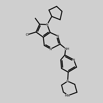 Cc1c(Cl)c2cnc(Nc3ccc(N4CCNCC4)cn3)nc2n1C1CCCC1